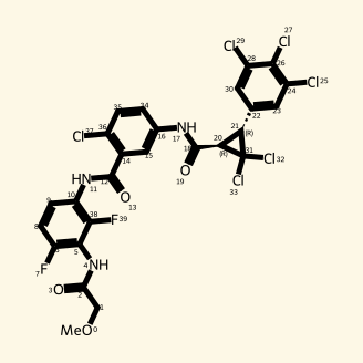 COCC(=O)Nc1c(F)ccc(NC(=O)c2cc(NC(=O)[C@H]3[C@H](c4cc(Cl)c(Cl)c(Cl)c4)C3(Cl)Cl)ccc2Cl)c1F